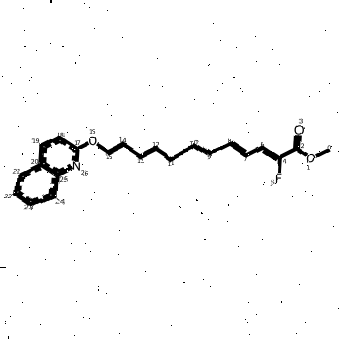 COC(=O)/C(F)=C/C=C/CCCCCCCOc1ccc2ccccc2n1